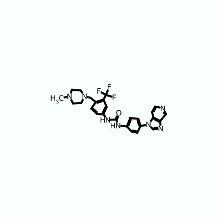 CN1CCN(Cc2ccc(NC(=O)Nc3ccc(-n4cnc5cnccc54)cc3)cc2C(F)(F)F)CC1